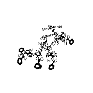 [C-]#[N+]CCOP(=S)(OC[C@H]1O[C@@H](n2cnc3c(N(C(=O)c4ccccc4)C(=O)c4ccccc4)ncnc32)[C@H](OC(=O)c2ccccc2)[C@@H]1C)O[C@@H]1[C@H](OC)[C@@H](COP(=S)(OC)O[C@@H]2[C@H](OC)[C@@H](CCP(=O)(OC)OC)O[C@H]2n2cnc3c(NC(=O)c4ccccc4)ncnc32)O[C@H]1n1cnc2c(NC(=O)c3ccccc3)ncnc21